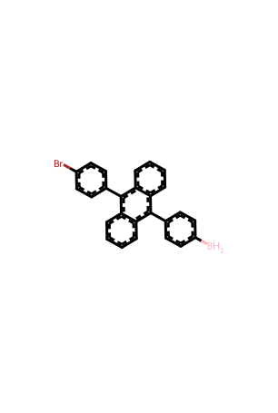 Bc1ccc(-c2c3ccccc3c(-c3ccc(Br)cc3)c3ccccc23)cc1